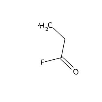 [CH2]CC(=O)F